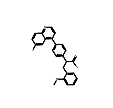 COc1ccccc1CC(C(=O)O)c1ccc(-c2ccnc3ccc(F)cc23)cc1